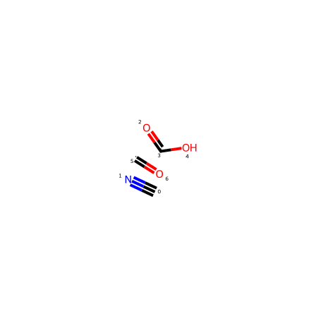 C#N.O=[C]O.[CH]=O